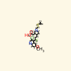 COc1ccc2ncc(Cl)c([C@H](F)CCC3CCN(CCSC4CC4)CC3CC(=O)O)c2c1